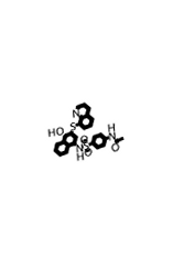 CC(=O)Nc1ccc(S(=O)(=O)Nc2cc(Sc3cccc4cccnc34)c(O)c3ccccc23)cc1